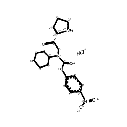 Cl.O=C(CN(C(=O)Oc1ccc([N+](=O)[O-])cc1)C1CCCCC1)[C@@H]1CCCN1